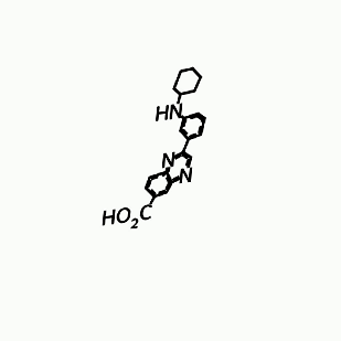 O=C(O)c1ccc2nc(-c3cccc(NC4CCCCC4)c3)cnc2c1